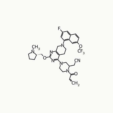 C=CC(=O)N1CCN(c2nc(OC[C@@H]3CCCN3C)nc3c2CCN(c2cc(F)cc4ccc(OC(F)(F)F)cc24)C3)CC1CC#N